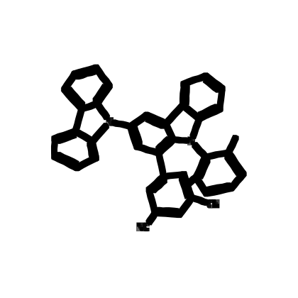 Cc1cccc(C)c1-n1c2ccccc2c2cc(-n3c4ccccc4c4ccccc43)cc(-c3cc(C#N)cc(C#N)c3)c21